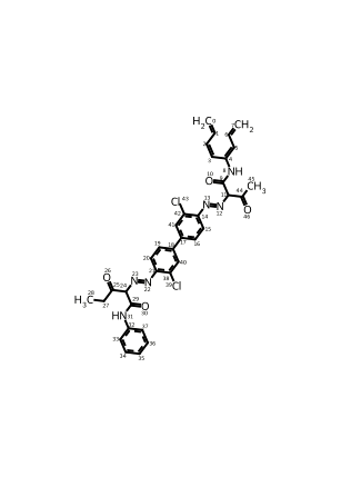 C=C/C=C\C(=C/C=C)NC(=O)C(N=Nc1ccc(-c2ccc(N=NC(C(=O)CC)C(=O)Nc3ccccc3)c(Cl)c2)cc1Cl)C(C)=O